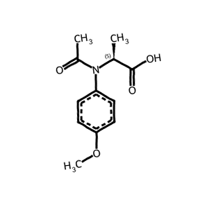 COc1ccc(N(C(C)=O)[C@@H](C)C(=O)O)cc1